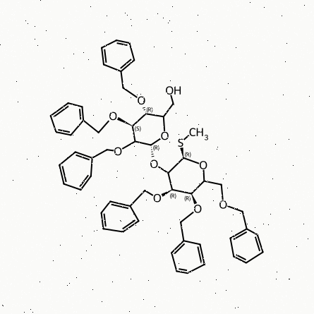 CS[C@H]1OC(COCc2ccccc2)[C@@H](OCc2ccccc2)[C@@H](OCc2ccccc2)C1O[C@H]1OC(CO)[C@@H](OCc2ccccc2)[C@H](OCc2ccccc2)C1OCc1ccccc1